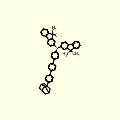 CC1(C)c2ccccc2-c2ccc(N(c3ccc(-c4ccc(-c5ccc(C67CC8CC(CC(C8)C6)C7)cc5)cc4)cc3)c3ccc4c(c3)C(C)(C)c3ccccc3-4)cc21